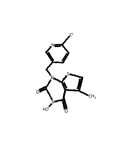 Cc1csc2c1c(=O)n(O)c(=O)n2Cc1ccc(Cl)nc1